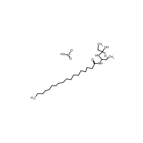 CCCCCCCCCCCCCCCCCC(=O)NC(CC)NC(C)(O)CC.O=[N+]([O-])O